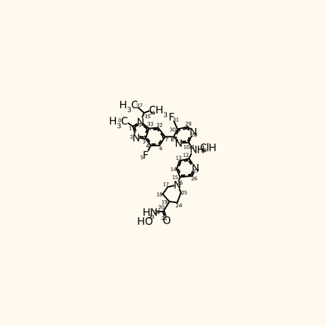 Cc1nc2c(F)cc(-c3nc(Nc4ccc(N5CCC(C(=O)NO)CC5)cn4)ncc3F)cc2n1C(C)C.Cl